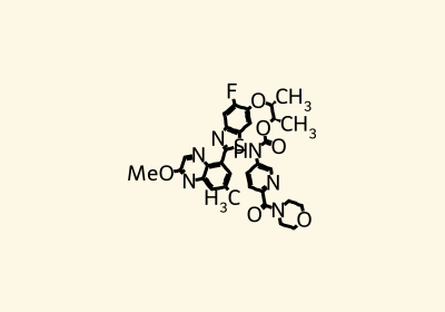 COc1cnc2c(-c3nc4cc(F)c(O[C@@H](C)[C@@H](C)OC(=O)Nc5ccc(C(=O)N6CCOCC6)nc5)cc4s3)cc(C)cc2n1